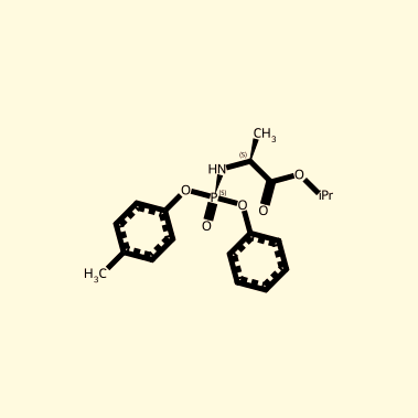 Cc1ccc(O[P@](=O)(N[C@@H](C)C(=O)OC(C)C)Oc2ccccc2)cc1